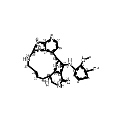 COc1c(F)cccc1Nc1c2[nH]c3c1C(=O)NC[C@@H]3C/C=C/CNc1nc3c-2ccnc3s1